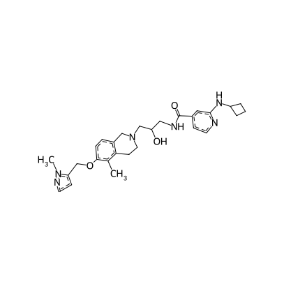 Cc1c(OCc2ccnn2C)ccc2c1CCN(CC(O)CNC(=O)c1ccnc(NC3CCC3)c1)C2